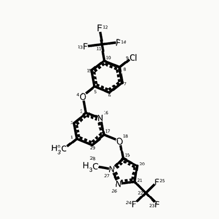 Cc1cc(Oc2ccc(Cl)c(C(F)(F)F)c2)nc(Oc2cc(C(F)(F)F)nn2C)c1